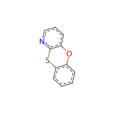 c1ccc2c(c1)Oc1cccnc1S2